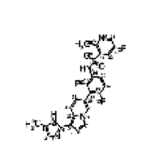 Cc1cnc(-c2ncn3cc(-c4c(F)ccc(NS(=O)(=O)c5cc(F)cnc5C)c4F)ccc23)[nH]1